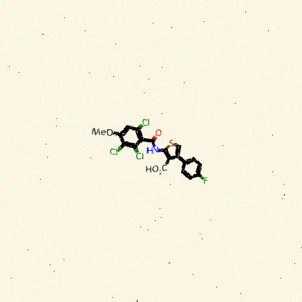 COc1cc(Cl)c(C(=O)Nc2scc(-c3ccc(F)cc3)c2C(=O)O)c(Cl)c1Cl